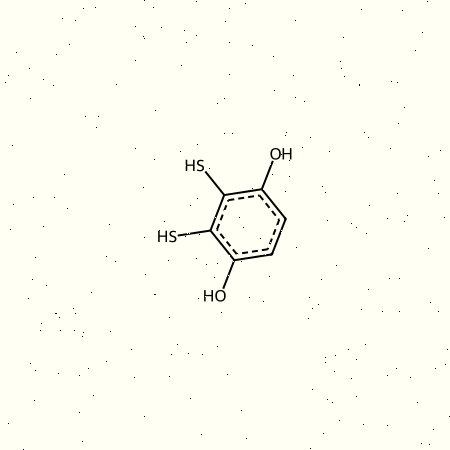 Oc1ccc(O)c(S)c1S